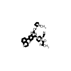 C=C(F)C(=O)N1CCN(c2nc(OC[C@@H]3CCCN3C)nc3cc(-c4cccc5c4CCCS5)c(F)cc23)C[C@@H]1CC#N